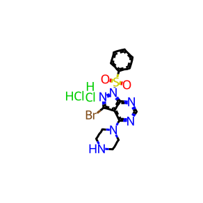 Cl.Cl.O=S(=O)(c1ccccc1)n1nc(Br)c2c(N3CCNCC3)ncnc21